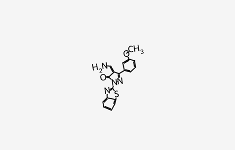 COc1cccc(C2=NN(c3nc4ccccc4s3)C(=O)C2=CN)c1